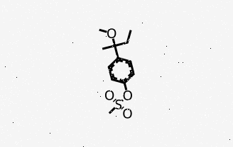 CCC(C)(OC)c1ccc(OS(C)(=O)=O)cc1